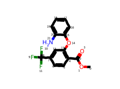 COC(=O)c1ccc(C(F)(F)F)cc1Oc1ccccc1N